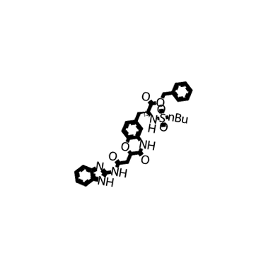 CCCCS(=O)(=O)N[C@@H](Cc1ccc2c(c1)NC(=O)C(CC(=O)Nc1nc3ccccc3[nH]1)O2)C(=O)OCc1ccccc1